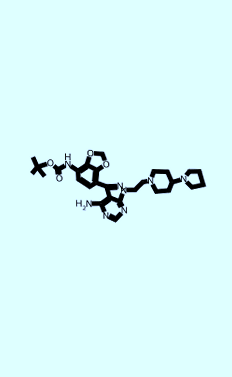 CC(C)(C)OC(=O)Nc1ccc(-c2nn(CCN3CCC(N4CCCC4)CC3)c3ncnc(N)c23)c2c1OCO2